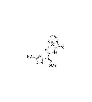 CON=C(C(=O)NC1C(=O)N2C=CCS[C@@H]12)c1nsc(N)n1